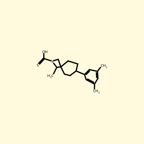 Cc1cc(C)cc(C2CCC3(CC2)CN(C(O)=S)C3C)c1